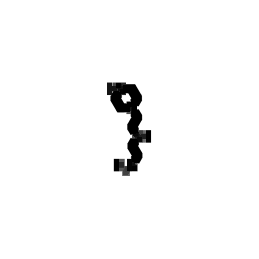 NCCNCCN1CCNCC1